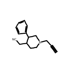 C#CCN1CCC(CC#N)C(c2ccccc2)C1